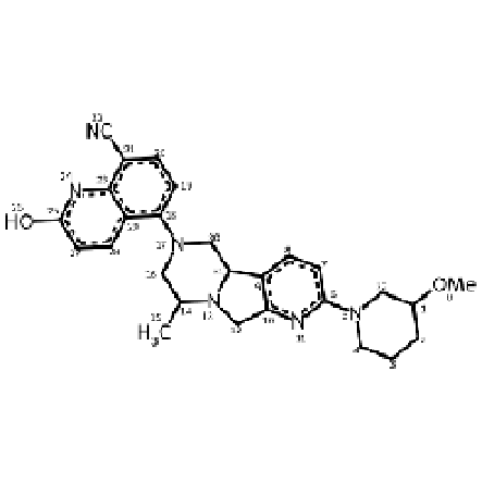 COC1CCCN(c2ccc3c(n2)CN2C(C)CN(c4ccc(C#N)c5nc(O)ccc45)CC32)C1